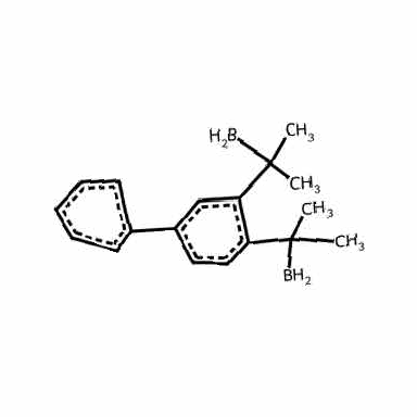 BC(C)(C)c1ccc(-c2ccccc2)cc1C(B)(C)C